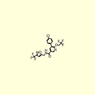 O=C(NCc1cc(C(F)(F)F)no1)c1cnc(OCC(F)(F)F)c(-c2ccc(Cl)cc2)c1